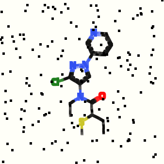 CCC(SC)C(=O)N(CC)c1cn(-c2cccnc2)nc1Cl